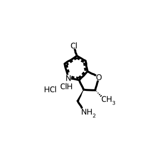 C[C@H]1Oc2cc(Cl)cnc2[C@@H]1CN.Cl.Cl